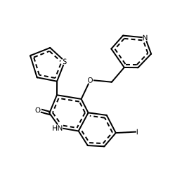 O=c1[nH]c2ccc(I)cc2c(OCc2ccncc2)c1-c1cccs1